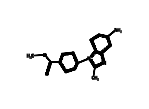 COC(=O)c1ccc(-n2c(C)nc3cc(N)ccc32)cc1